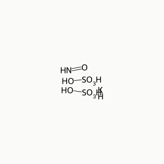 N=O.O=S(=O)(O)O.O=S(=O)(O)O.[KH]